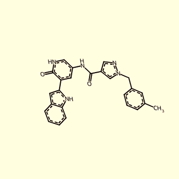 Cc1cccc(Cn2cc(C(=O)Nc3c[nH]c(=O)c(-c4cc5ccccc5[nH]4)c3)cn2)c1